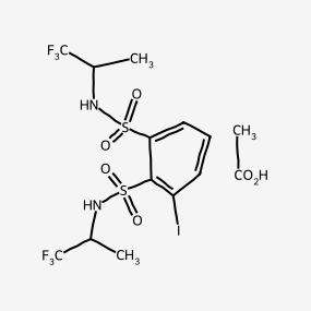 CC(=O)O.CC(NS(=O)(=O)c1cccc(I)c1S(=O)(=O)NC(C)C(F)(F)F)C(F)(F)F